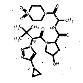 CC(NC(=O)C1CC(O)CN1C(=O)[C@@H](n1cc(C2CC2)nn1)C(C)(C)C)C(=O)N1CCS(=O)(=O)CC1